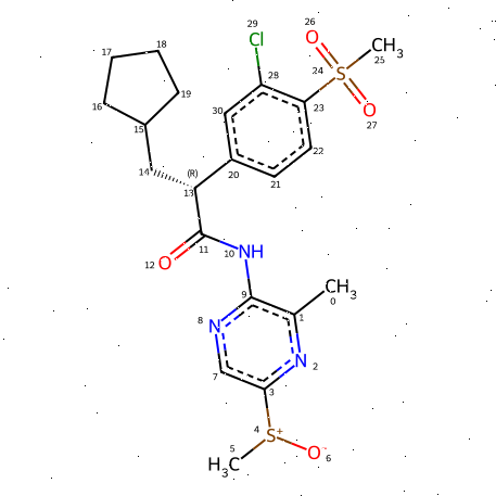 Cc1nc([S+](C)[O-])cnc1NC(=O)[C@H](CC1CCCC1)c1ccc(S(C)(=O)=O)c(Cl)c1